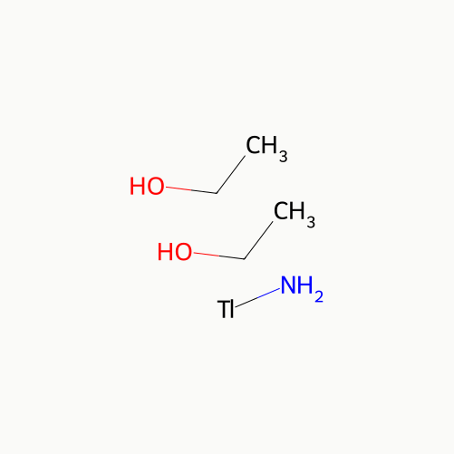 CCO.CCO.[NH2][Tl]